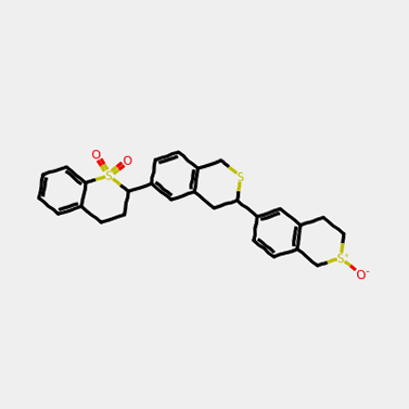 O=S1(=O)c2ccccc2CCC1c1ccc2c(c1)CC(c1ccc3c(c1)CC[S+]([O-])C3)SC2